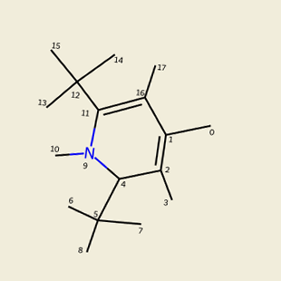 CC1=C(C)C(C(C)(C)C)N(C)C(C(C)(C)C)=C1C